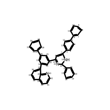 C1=C(c2ccc(-c3ccccc3)cc2)NC(c2ccccc2)N=C1c1cc(-c2ccccc2)cc(-c2cccc3cccnc23)c1